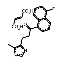 Cc1[nH]cnc1CCC(=O)c1cccc2c(F)cccc12.O=C(O)C=CC(=O)O